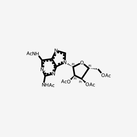 CC(=O)Nc1nc(NC(C)=O)c2ncn([C@@H]3O[C@H](COC(C)=O)[C@@H](OC(C)=O)[C@H]3OC(C)=O)c2n1